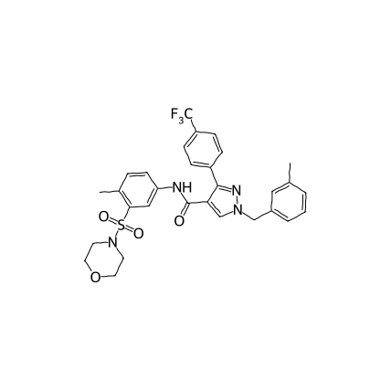 Cc1cccc(Cn2cc(C(=O)Nc3ccc(C)c(S(=O)(=O)N4CCOCC4)c3)c(-c3ccc(C(F)(F)F)cc3)n2)c1